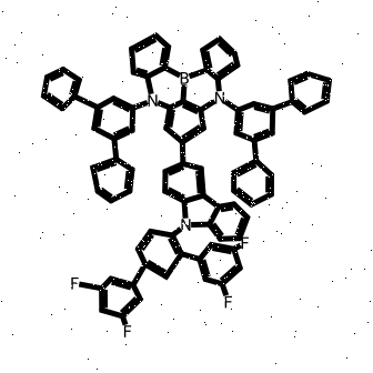 Fc1cc(F)cc(-c2ccc(-n3c4ccccc4c4cc(-c5cc6c7c(c5)N(c5cc(-c8ccccc8)cc(-c8ccccc8)c5)c5ccccc5B7c5ccccc5N6c5cc(-c6ccccc6)cc(-c6ccccc6)c5)ccc43)c(-c3cc(F)cc(F)c3)c2)c1